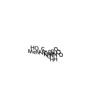 CNCCn1nc(S(=O)(=O)NC(=O)Nc2c3c(cc4c2CCC4)CCC3)cc1C(=O)O